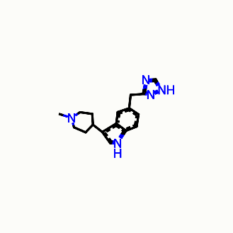 CN1CCC(c2c[nH]c3ccc(Cc4nc[nH]n4)cc23)CC1